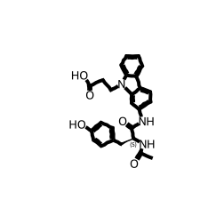 CC(=O)N[C@@H](Cc1ccc(O)cc1)C(=O)Nc1ccc2c3ccccc3n(CCC(=O)O)c2c1